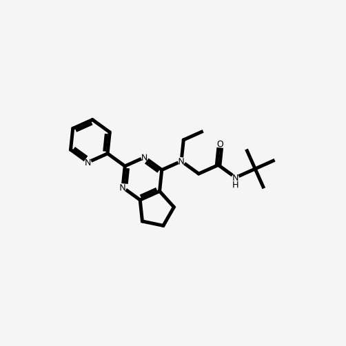 CCN(CC(=O)NC(C)(C)C)c1nc(-c2ccccn2)nc2c1CCC2